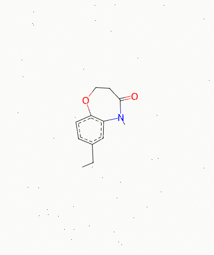 CCc1ccc2c(c1)N(C)C(=O)CCO2